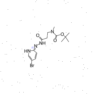 CN(CCC(=O)N/N=c1\ccc(Br)c[nH]1)C(=O)OC(C)(C)C